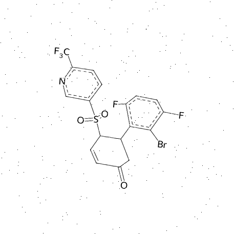 O=C1C=CC(S(=O)(=O)c2ccc(C(F)(F)F)nc2)C(c2c(F)ccc(F)c2Br)C1